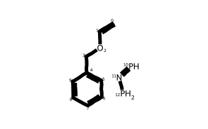 C=COCc1ccccc1.P=NP